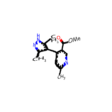 COC(=O)c1cnc(C)cc1-c1c(C)n[nH]c1C